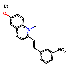 CCOc1ccc2c(ccc(C=Cc3cccc([N+](=O)[O-])c3)[n+]2C)c1